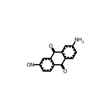 Nc1ccc2c(c1)C(=O)c1cc(N=O)ccc1C2=O